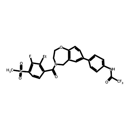 CCc1c(C(=O)N2CCOc3ccc(-c4ccc(NC(=O)C(F)(F)F)cc4)cc3C2)ccc(S(C)(=O)=O)c1F